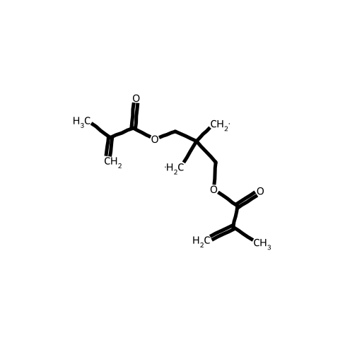 [CH2]C([CH2])(COC(=O)C(=C)C)COC(=O)C(=C)C